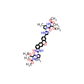 COC(=O)NC(C(=O)N1C[C@@H](C)C[C@H]1c1ncc(-c2ccc3c(c2)COc2cc4c(ccc5nc([C@@H]6CC[C@H](C)N6C(O)[C@@H](NC(=O)OC)[C@@H](C)OC)[nH]c54)cc2-3)[nH]1)[C@@H](C)OC